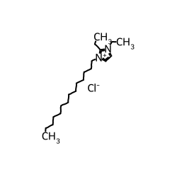 CCCCCCCCCCCCCC[n+]1ccn(CC)c1CC.[Cl-]